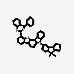 CC1(C)c2ccccc2-c2cc(-n3c4ccccc4c4c5oc6c(-c7nc(-c8ccccc8)c8ccccc8n7)cccc6c5ccc43)ccc21